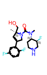 CN(C(=O)N1CC(c2cc(F)ccc2F)=C[C@@]1(C)CO)[C@H]1CCNC[C@@H]1F